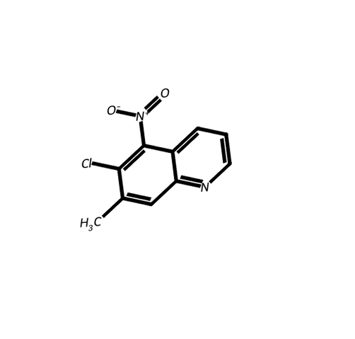 Cc1cc2ncccc2c([N+](=O)[O-])c1Cl